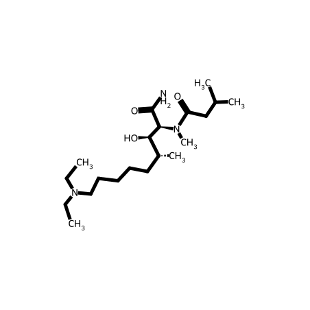 CCN(CC)CCCCC[C@@H](C)[C@@H](O)[C@@H](C(N)=O)N(C)C(=O)CC(C)C